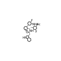 CC(=O)Nc1cc(-c2cccnc2[C@H](Cc2cc(F)cc(F)c2)NC(=O)Cc2c[nH]c3ccccc23)ccc1F